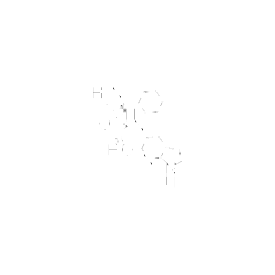 NC(=O)c1ccccc1N1c2cc3cc[nH]c3nc2O[C@H]2COC[C@@H]21